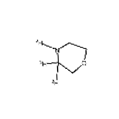 [2H]N1CCOCC1([2H])[2H]